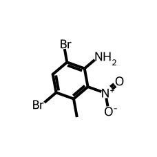 Cc1c(Br)cc(Br)c(N)c1[N+](=O)[O-]